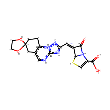 O=C(O)C1=CSC2/C(=C\c3nc4ncc5c(n4n3)CCC3(C5)OCCO3)C(=O)N12